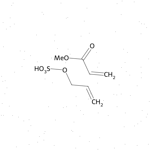 C=CC(=O)OC.C=CCOS(=O)(=O)O